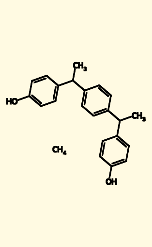 C.CC(c1ccc(O)cc1)c1ccc(C(C)c2ccc(O)cc2)cc1